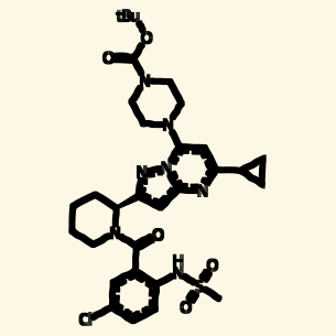 CC(C)(C)OC(=O)N1CCN(c2cc(C3CC3)nc3cc([C@@H]4CCCCN4C(=O)c4cc(Cl)ccc4NS(C)(=O)=O)nn23)CC1